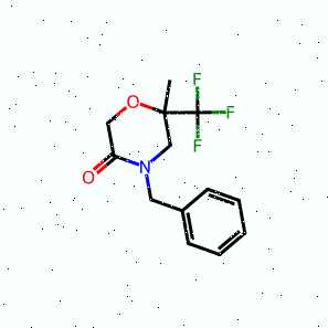 CC1(C(F)(F)F)CN(Cc2ccccc2)C(=O)CO1